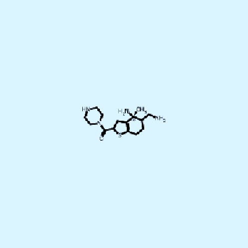 C[C@]1(N)C2=C(CCC1CN)SC(C(=O)N1CCNCC1)C2